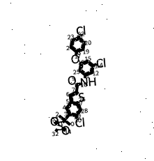 CC(C)(c1cc2cc(C(=O)Nc3cc(Cl)cc(Oc4ccc(Cl)cc4)c3)sc2cc1Cl)S(C)(=O)=O